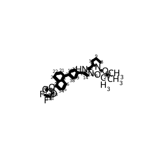 CC(C)(C)OC(=O)N1CCCC1c1ncc(-c2ccc(-c3cccc4c(OS(=O)(=O)C(F)(F)F)cccc34)cc2)[nH]1